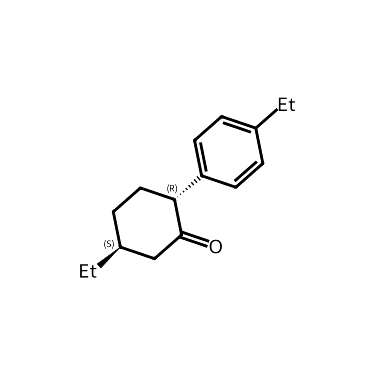 CCc1ccc([C@H]2CC[C@H](CC)CC2=O)cc1